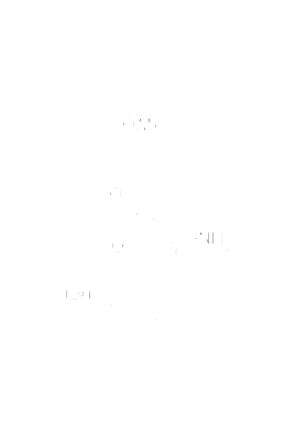 COCCOCOc1c(C(N)=S)cccc1C(C)(C)C